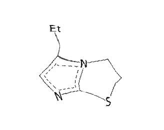 CCc1cnc2n1CCS2